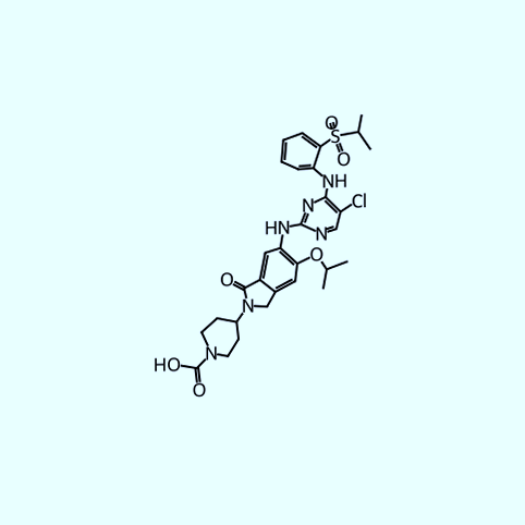 CC(C)Oc1cc2c(cc1Nc1ncc(Cl)c(Nc3ccccc3S(=O)(=O)C(C)C)n1)C(=O)N(C1CCN(C(=O)O)CC1)C2